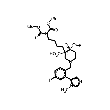 CCOP1(=O)CCN(Cc2ccc(F)cc2-c2cncn2C)C[C@@]1(CCCCN(C(=O)OC(C)(C)C)C(=O)OC(C)(C)C)C(=O)O